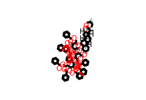 CC1O[C@@H](O[C@H]2C(OC(=O)c3ccccc3)[C@H](O[C@@H]3OC(COC(=O)c4ccccc4)[C@@H](OC(=O)c4ccccc4)C(OC(=O)c4ccccc4)[C@@H]3OC(=O)c3ccccc3)C(COC(=O)c3ccccc3)O[C@H]2O[C@H]2CC[C@@]3(C)C(=CC[C@H]4[C@@H]5C[C@@H]6O[C@]7(CC[C@@H](C)CO7)[C@@H](C)[C@@H]6[C@@]5(C)CC[C@@H]43)C2)[C@@H](OC(=O)c2ccccc2)C(OC(=O)c2ccccc2)[C@H]1OC(=O)c1ccccc1